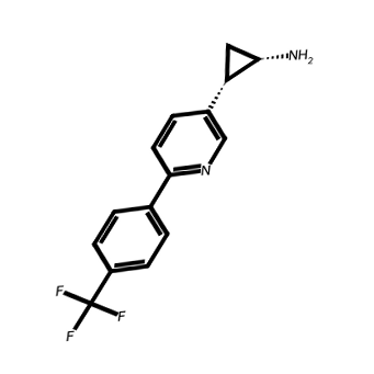 N[C@H]1C[C@H]1c1ccc(-c2ccc(C(F)(F)F)cc2)nc1